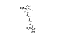 C[Si](C)(O)CCCSSCCC[Si](C)(C)O